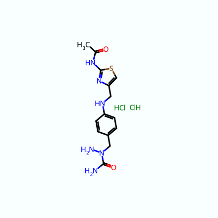 CC(=O)Nc1nc(CNc2ccc(CN(N)C(N)=O)cc2)cs1.Cl.Cl